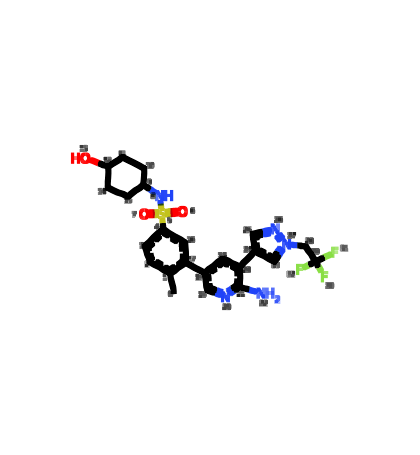 Cc1ccc(S(=O)(=O)NC2CCC(O)CC2)cc1-c1cnc(N)c(-c2cnn(CC(F)(F)F)c2)c1